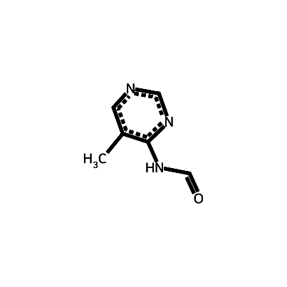 Cc1cncnc1NC=O